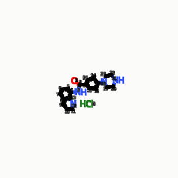 Cl.O=C(Nc1cccc2cccnc12)c1ccc(N2CCNCC2)cc1